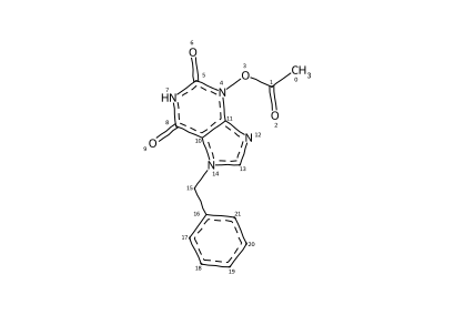 CC(=O)On1c(=O)[nH]c(=O)c2c1ncn2Cc1ccccc1